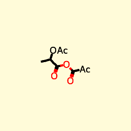 CC(=O)OC(C)C(=O)OC(=O)C(C)=O